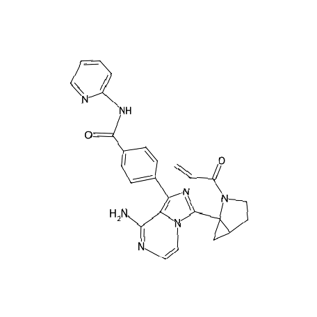 C=CC(=O)N1CCC2CC21c1nc(-c2ccc(C(=O)Nc3ccccn3)cc2)c2c(N)nccn12